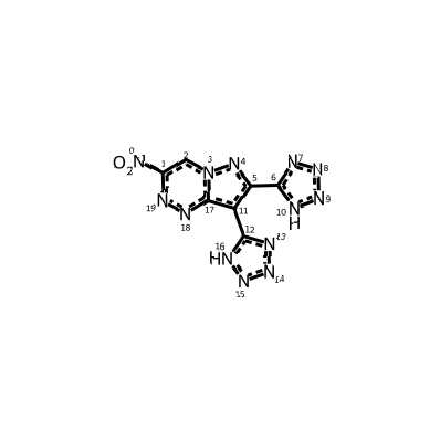 O=[N+]([O-])c1cn2nc(-c3nnn[nH]3)c(-c3nnn[nH]3)c2nn1